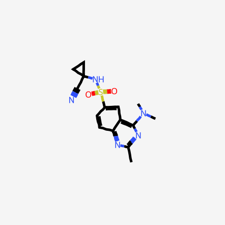 Cc1nc(N(C)C)c2cc(S(=O)(=O)NC3(C#N)CC3)ccc2n1